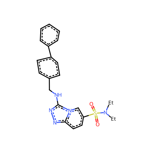 CCN(CC)S(=O)(=O)c1ccc2nnc(NCc3ccc(-c4ccccc4)cc3)n2c1